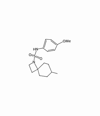 COc1ccc(NS(=O)(=O)N2CCC23CCC(C)CC3)cc1